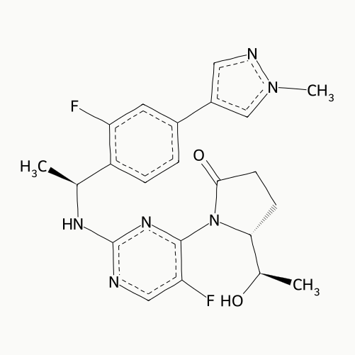 C[C@H](Nc1ncc(F)c(N2C(=O)CC[C@@H]2[C@@H](C)O)n1)c1ccc(-c2cnn(C)c2)cc1F